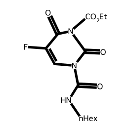 CCCCCCNC(=O)n1cc(F)c(=O)n(C(=O)OCC)c1=O